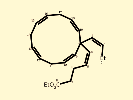 CC/C=C\C1(/C=C\CCC(=O)OCC)/C=C\C/C=C\C/C=C\C/C=C\1